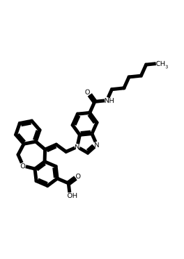 CCCCCCNC(=O)c1ccc2c(c1)ncn2CC=C1c2ccccc2COc2ccc(C(=O)O)cc21